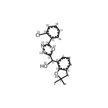 CC1(C)Cc2cccc(C(O)c3nnc(-c4ccccc4Cl)o3)c2O1